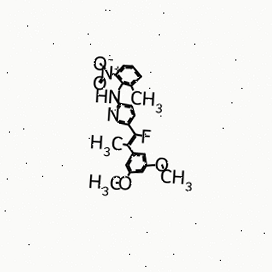 COc1cc(OC)cc(/C(C)=C(\F)c2ccc(Nc3c(C)cccc3[N+](=O)[O-])nc2)c1